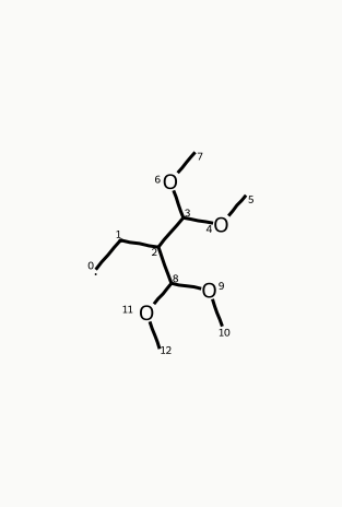 [CH2]CC(C(OC)OC)C(OC)OC